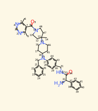 Cc1ncnc(C)c1C(=O)N1CCC(C)(N2CCC(N(Cc3ccccc3)c3ccc(CNC(=O)[C@H](N)c4ccccc4)cc3)CC2)CC1